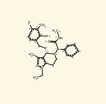 CCn1nc(C)c2c1CCN([C@@H](C(=O)NC)c1ccccc1)[C@H]2CCc1ccc(F)c(C)c1F